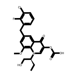 CC[C@@H](CO)n1cc(OC(=O)O)c(=O)c2cc(Cc3cccc(Cl)c3F)cc(OC)c21